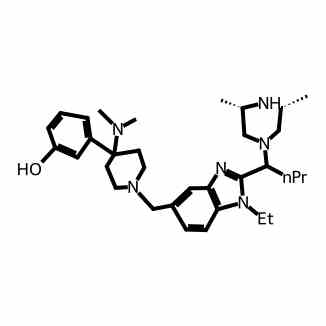 CCCC(c1nc2cc(CN3CCC(c4cccc(O)c4)(N(C)C)CC3)ccc2n1CC)N1C[C@@H](C)N[C@@H](C)C1